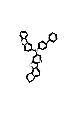 C1=Cc2c(ccc3c2oc2cc(N(c4ccc(-c5ccccc5)cc4)c4ccc5sc6ccccc6c5c4)cnc23)CC1